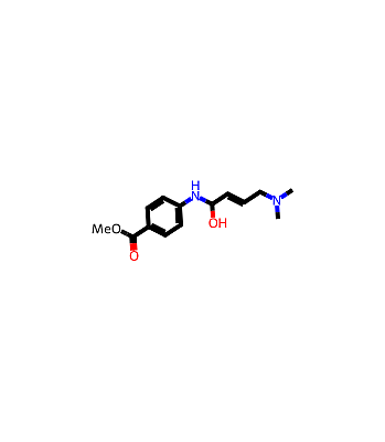 COC(=O)c1ccc(NC(O)/C=C/CN(C)C)cc1